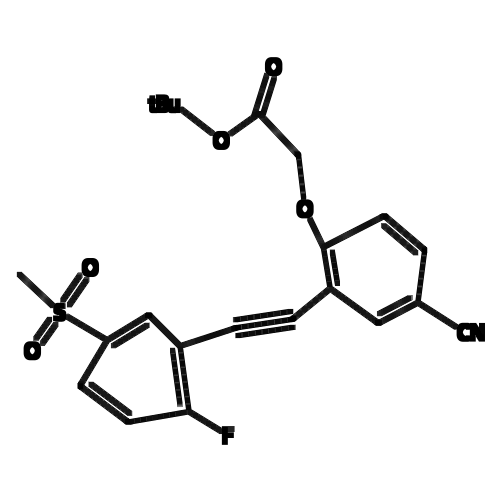 CC(C)(C)OC(=O)COc1ccc(C#N)cc1C#Cc1cc(S(C)(=O)=O)ccc1F